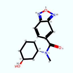 CN(C(=O)c1ccc2nonc2c1)[C@H]1CCC[C@H](O)C1